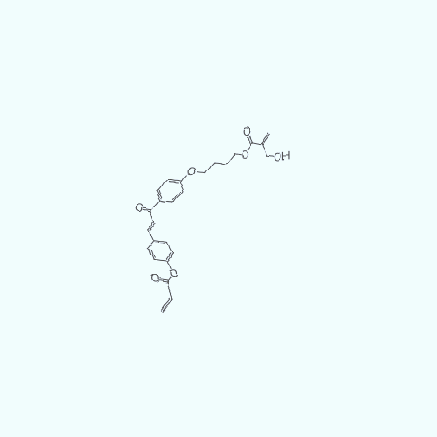 C=CC(=O)Oc1ccc(/C=C/C(=O)c2ccc(OCCCCOC(=O)C(=C)CO)cc2)cc1